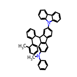 Cc1ccccc1-c1ccccc1C1c2cc(N(C)c3ccccc3)ccc2-c2ccc(-n3c4ccccc4c4ccccc43)cc21